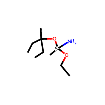 CCO[Si](C)(N)OC(C)(CC)CC